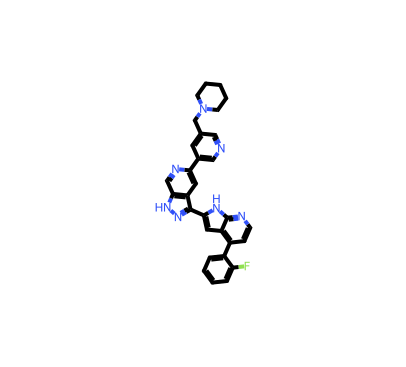 Fc1ccccc1-c1ccnc2[nH]c(-c3n[nH]c4cnc(-c5cncc(CN6CCCCC6)c5)cc34)cc12